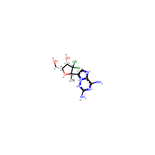 N#C[C@@]1(c2cnc3c(N)nc(N)nn23)O[C@H](CO)[C@H](O)C1(Br)Br